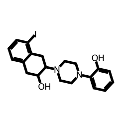 Oc1ccccc1N1CCN(C2Cc3c(I)cccc3CC2O)CC1